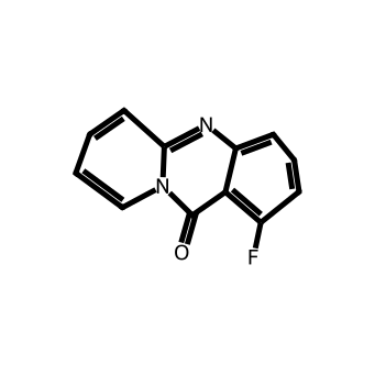 O=c1c2c(F)cccc2nc2ccccn12